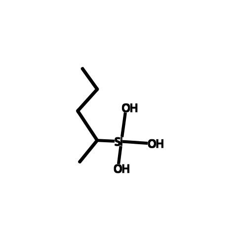 CCCC(C)[Si](O)(O)O